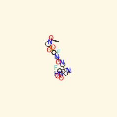 CC#CC(=O)N1CCCC[C@@H](S(=O)(=O)c2ccc(N3CC(CN4CCC([C@@](CN5CCC5)(c5cccc(F)c5)[C@H]5CCC[C@@H]5NC(=O)OC)CC4)(OC)C3)c(F)c2)C1